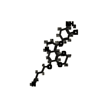 N#CCCCOc1cc2nccc(OC3=CC(Cl)=C(N)CC3)c2c2c1OCCO2